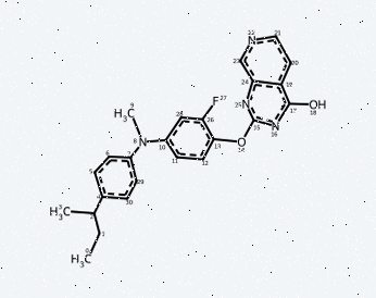 CCC(C)c1ccc(N(C)c2ccc(Oc3nc(O)c4ccncc4n3)c(F)c2)cc1